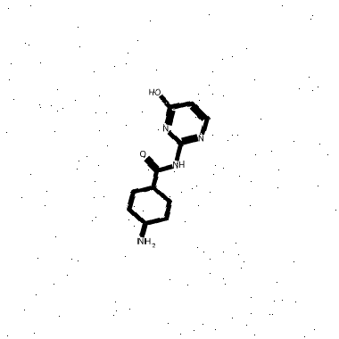 NC1CCC(C(=O)Nc2nccc(O)n2)CC1